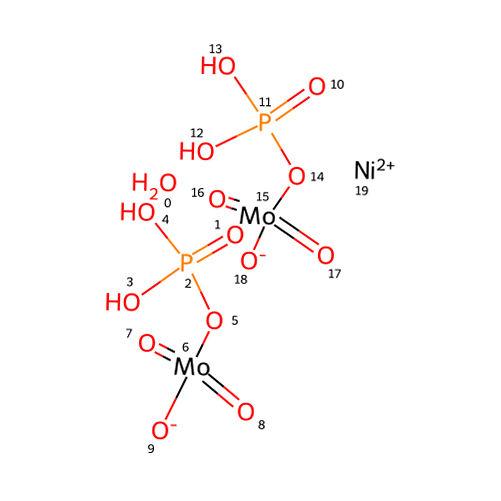 O.O=P(O)(O)[O][Mo](=[O])(=[O])[O-].O=P(O)(O)[O][Mo](=[O])(=[O])[O-].[Ni+2]